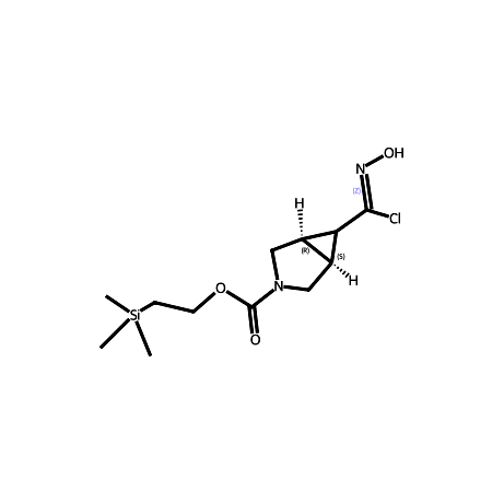 C[Si](C)(C)CCOC(=O)N1C[C@@H]2C(/C(Cl)=N/O)[C@@H]2C1